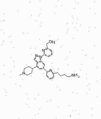 CN1CCC(c2cc(-c3cccc(CCCCN)n3)cc3c2cnn3-c2cccc(CO)n2)CC1